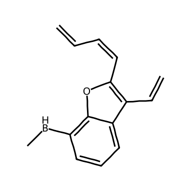 C=C/C=C\c1oc2c(BC)cccc2c1C=C